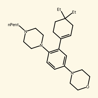 CCCCCN1CCN(c2ccc(N3CCOCC3)cc2C2=CCC(CC)(CC)CC2)CC1